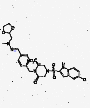 CN(CC1OCCO1)/N=C/c1ccc(CN2C(=O)CN(S(=O)(=O)c3cc4cc(Cl)ccc4[nH]3)C[C@@H]2C(=O)O)cc1